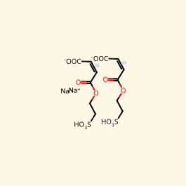 O=C([O-])/C=C\C(=O)OCCS(=O)(=O)O.O=C([O-])/C=C\C(=O)OCCS(=O)(=O)O.[Na+].[Na+]